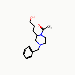 O=C(N1CCN(Cc2ccccc2)CC1CCCO)C(F)(F)F